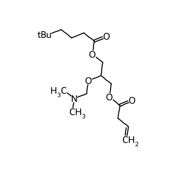 C=CCC(=O)OCC(COC(=O)CCCC(C)(C)C)OCN(C)C